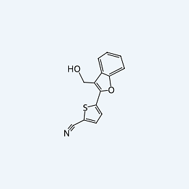 N#Cc1ccc(-c2oc3ccccc3c2CO)s1